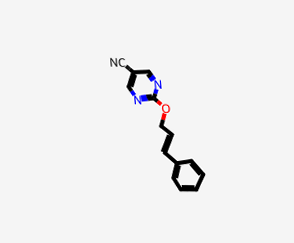 N#Cc1cnc(OCC=Cc2ccccc2)nc1